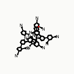 N#Cc1ccc(-c2ccc3c(c2)c2cc(-c4ccc(C#N)cc4C#N)ccc2n3-c2ccc(C#N)cc2-c2nc(-c3ccccc3)nc(-c3cc(C#N)ccc3-n3c4ccc(-c5ccc(C#N)cc5C#N)cc4c4cc(-c5ccc(C#N)cc5C#N)ccc43)n2)c(C#N)c1